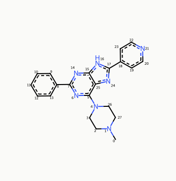 CN1CCN(c2nc(-c3ccccc3)nc3[nH]c(-c4ccncc4)nc23)CC1